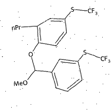 CCCc1cc(SC(F)(F)F)c[c]c1OC(OC)c1cccc(SC(F)(F)F)c1